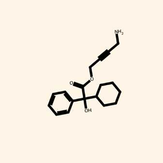 NCC#CCOC(=O)C(O)(c1ccccc1)C1CCCCC1